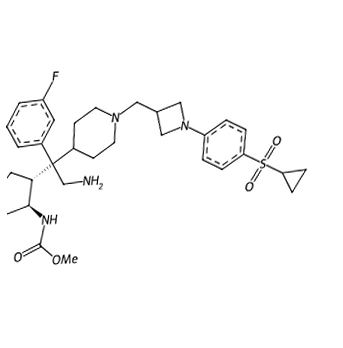 COC(=O)N[C@H]1CCC[C@@H]1C(CN)(c1cccc(F)c1)C1CCN(CC2CN(c3ccc(S(=O)(=O)C4CC4)cc3)C2)CC1